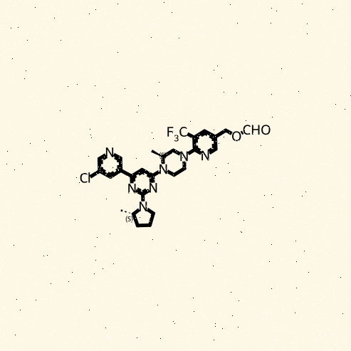 C[C@H]1CN(c2ncc(COC=O)cc2C(F)(F)F)CCN1c1cc(-c2cncc(Cl)c2)nc(N2CCC[C@@H]2C)n1